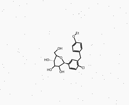 CCOc1ccc(Cc2cc([C@@H]3OC(CO)[C@@H](O)C(O)C3O)ccc2Cl)cc1